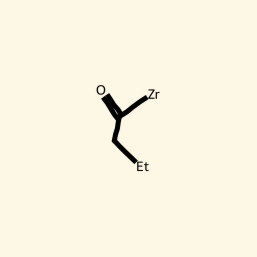 CCC[C](=O)[Zr]